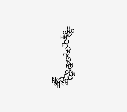 CCN(C)S(=O)(=O)Nc1ccc(F)c(Oc2ccc3ncn(-c4cnc(N5CCN(C(=O)CN6CCC(c7ccc(N[C@H]8CCC(=O)NC8=O)cc7F)CC6)CC5)nc4)c(=O)c3c2)c1C#N